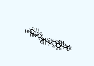 Cc1c(OCc2cnco2)ccc2c1CCN(C[C@@H](O)CNC(=O)C1CCNC(NC3CCCNC3)C1)C2